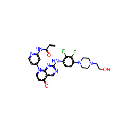 C=CC(=O)Nc1cc(-n2ccc(=O)c3cnc(Nc4ccc(N5CCN(CCO)CC5)c(F)c4F)nc32)ccn1